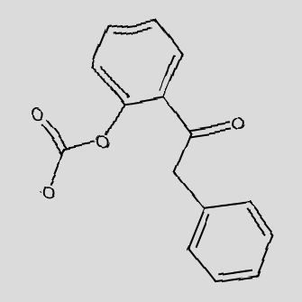 [O]C(=O)Oc1ccccc1C(=O)Cc1ccccc1